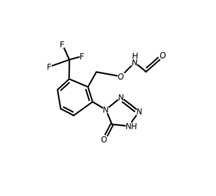 O=CNOCc1c(-n2nn[nH]c2=O)cccc1C(F)(F)F